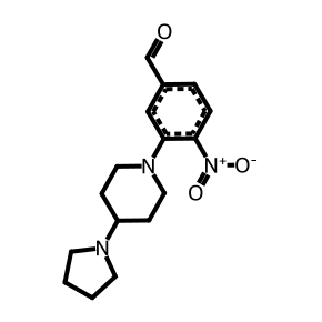 O=Cc1ccc([N+](=O)[O-])c(N2CCC(N3CCCC3)CC2)c1